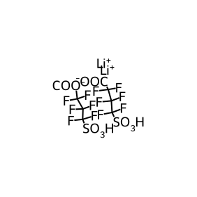 O=C([O-])C(F)(F)C(F)(F)C(F)(F)S(=O)(=O)O.O=C([O-])C(F)(F)C(F)(F)C(F)(F)S(=O)(=O)O.[Li+].[Li+]